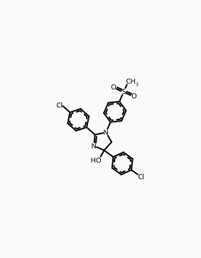 CS(=O)(=O)c1ccc(N2CC(O)(c3ccc(Cl)cc3)N=C2c2ccc(Cl)cc2)cc1